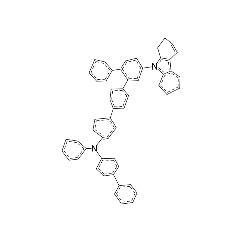 C1=Cc2c(n(-c3ccc(-c4ccccc4)c(-c4ccc(-c5ccc(N(c6ccccc6)c6ccc(-c7ccccc7)cc6)cc5)cc4)c3)c3ccccc23)CC1